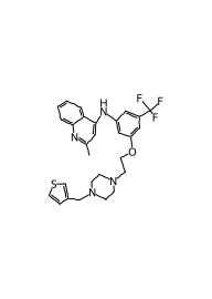 Cc1cc(Nc2cc(OCCN3CCN(Cc4ccsc4)CC3)cc(C(F)(F)F)c2)c2ccccc2n1